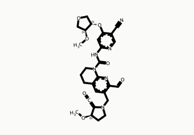 CO[C@H]1COC[C@@H]1Oc1cc(NC(=O)N2CCCc3cc(CN4CC[C@@H](OC)C4=C=O)c(C=O)nc32)ncc1C#N